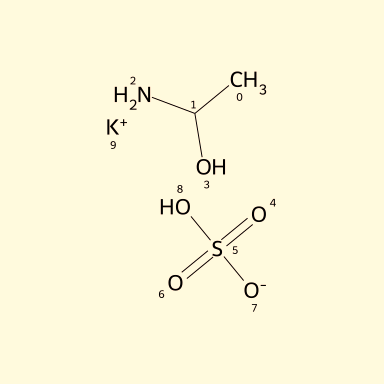 CC(N)O.O=S(=O)([O-])O.[K+]